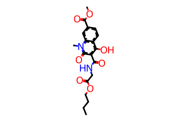 CCCCOC(=O)CNC(=O)c1c(O)c2ccc(C(=O)OC)cc2n(C)c1=O